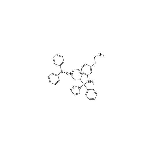 CB(c1ccccc1)c1ccccc1.CCCc1cccc([SiH2]C(c2ccccc2)(c2ccccc2)n2ccnc2)c1